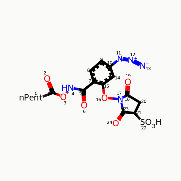 CCCCCC(=O)ONC(=O)c1ccc(N=[N+]=[N-])cc1ON1C(=O)CC(S(=O)(=O)O)C1=O